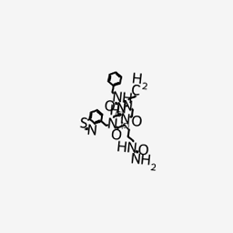 C=CCN1CC(=O)N2[C@@H](CCCNC(N)=O)C(=O)N(Cc3cccc4scnc34)C[C@@H]2N1C(=O)NCc1ccccc1